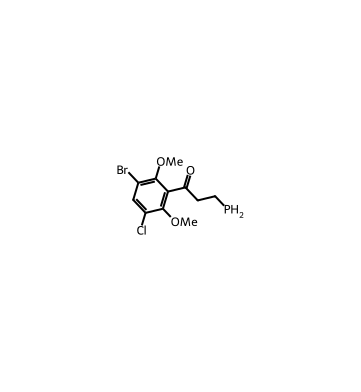 COc1c(Cl)cc(Br)c(OC)c1C(=O)CCP